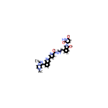 CCc1nc(-c2cccc3cc(-c4ccc(C(=O)NC/C=C/c5cccc6c5CN(C5CCC(=O)NC5=O)C6=O)nc4)ncc23)c2n1CCN(C(C)=O)C2